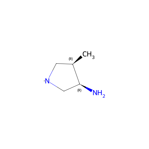 C[C@@H]1C[N]C[C@@H]1N